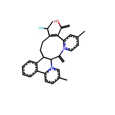 C=C(O)/C1=C(\C(C)F)CCC2c3ccccc3-c3ccc(C)c[n+]3C2C(=C)[n+]2ccc(C)cc21